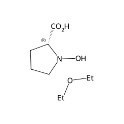 CCOCC.O=C(O)[C@H]1CCCN1O